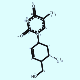 Cc1cn([C@@H]2C=CC(CO)[C@@H](C)C2)c(=O)[nH]c1=O